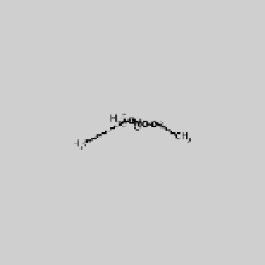 CCCCCCCCCCCCCCCCOC(C)c1ccc(OC(=O)c2ccc(-c3ccc(OCCCCCCCC)cc3)cc2)cc1